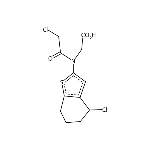 O=C(O)CN(C(=O)CCl)c1cc2c(s1)CCCC2Cl